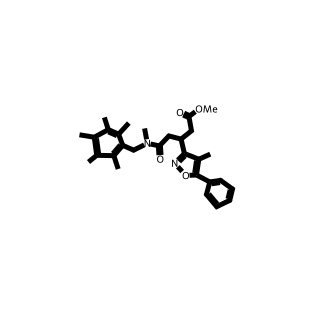 COC(=O)CC(CC(=O)N(C)Cc1c(C)c(C)c(C)c(C)c1C)c1noc(-c2ccccc2)c1C